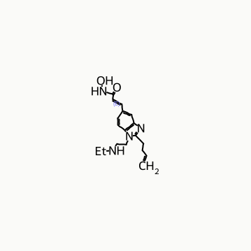 C=CCCc1nc2cc(/C=C/C(=O)NO)ccc2n1CCNCC